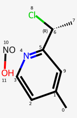 Cc1ccnc([C@@H](C)Cl)c1.O=NO